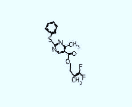 CC(CCOC(=O)c1cnc(Sc2ccccc2)nc1C)=C(F)F